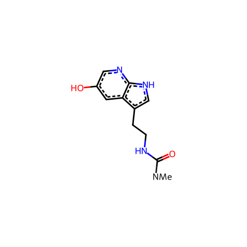 CNC(=O)NCCc1c[nH]c2ncc(O)cc12